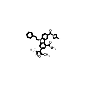 Cc1noc(C)c1-c1cc(C(N)=O)c2c3cc(C(=O)N4CC(F)C4)ccc3n(CCc3ccccc3)c2c1